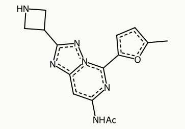 CC(=O)Nc1cc2nc(C3CNC3)nn2c(-c2ccc(C)o2)n1